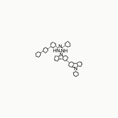 c1ccc(C2=NC(c3cccc(-c4ccc(-c5ccccc5)cc4)c3)NC(n3c4ccccc4c4cc(-c5ccc6c(c5)c5ccccc5n6-c5ccccc5)ccc43)N2)cc1